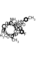 Cc1ccc(NC(=O)N[C@@H](Cc2cc(F)cc(F)c2)C(=O)N[C@@H]2C(=O)N3C[C@@H](N)C[C@H]3C(=O)N3CCCC[C@H]3C(=O)N[C@@H](C)C(=O)N3C[C@H](C)C[C@H]3C(=O)O[C@H]2C)cc1